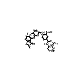 COc1cc(C(=O)N[C@H]2CCNC[C@@H]2OC)ccc1Nc1ncc(C(F)(F)F)c(Oc2cccc3c2C(=O)N(C)C3)n1